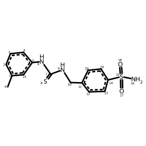 Cc1cccc(NC(=S)NCc2ccc(S(N)(=O)=O)cc2)c1